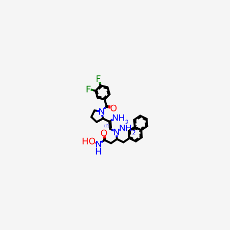 N/C(=C\N(N)C(CC(=O)NO)Cc1ccc2ccccc2c1)C1CCCN1C(=O)c1ccc(F)c(F)c1